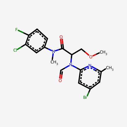 COCC(C(=O)N(C)c1ccc(F)c(Cl)c1)N(C=O)c1cc(Br)cc(C)n1